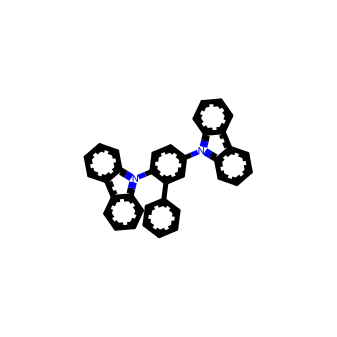 c1ccc(-c2cc(-n3c4ccccc4c4ccccc43)ccc2-n2c3ccccc3c3ccccc32)cc1